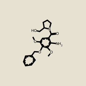 COc1cc(C(=O)N2CCCC2CO)c(N)c(OC)c1OCc1ccccc1